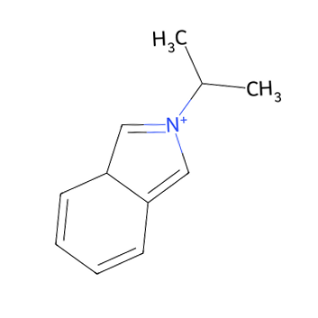 CC(C)[N+]1=CC2C=CC=CC2=C1